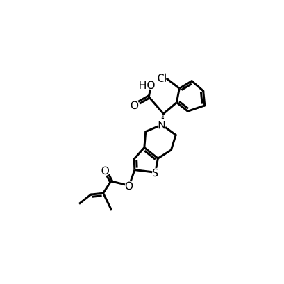 C/C=C(\C)C(=O)Oc1cc2c(s1)CCN([C@H](C(=O)O)c1ccccc1Cl)C2